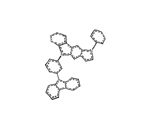 c1ccc(-n2ccc3cc4c(cc32)c2ccccc2n4-c2cccc(-n3c4ccccc4c4ccccc43)c2)cc1